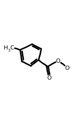 Cc1ccc(C(=O)O[O])cc1